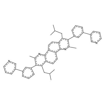 Cc1nc2c(ccc3c2ccc2c(CC(C)C)c(-c4cccc(-c5cccnc5)c4)c(C)nc23)c(CC(C)C)c1-c1cccc(-c2cccnc2)c1